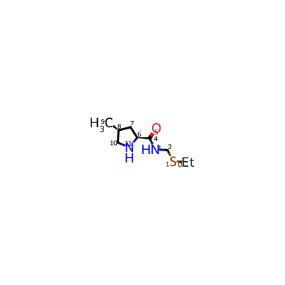 CCSCNC(=O)[C@@H]1C[C@H](C)CN1